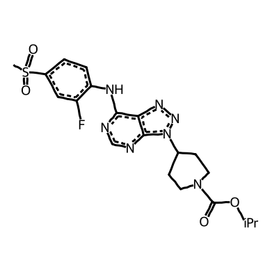 CC(C)OC(=O)N1CCC(n2nnc3c(Nc4ccc(S(C)(=O)=O)cc4F)ncnc32)CC1